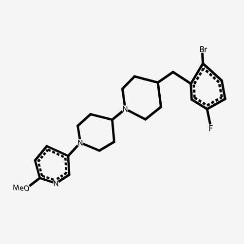 COc1ccc(N2CCC(N3CCC(Cc4cc(F)ccc4Br)CC3)CC2)cn1